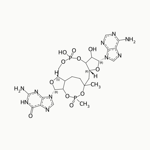 CC12CCC3C(OP(C)(=O)O1)[C@H](n1cnc4c(=O)[nH]c(N)nc41)O[C@@H]3COP(=O)(O)OC1C(O)[C@H](n3cnc4c(N)ncnc43)O[C@@H]1C2